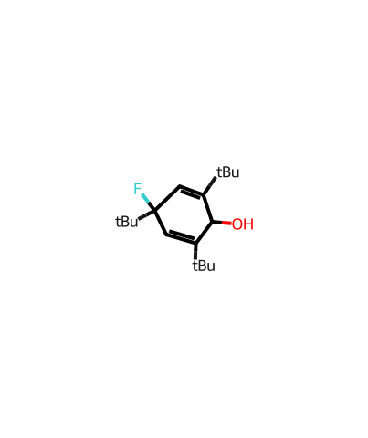 CC(C)(C)C1=CC(F)(C(C)(C)C)C=C(C(C)(C)C)C1O